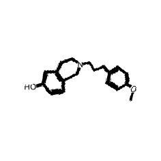 COc1ccc(CCCN2CCc3cc(O)ccc3C2)cc1